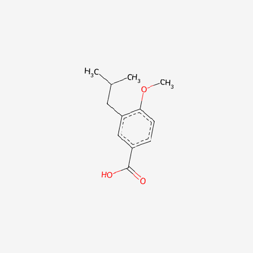 COc1ccc(C(=O)O)cc1CC(C)C